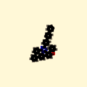 C1=CCC(c2ccc(-c3ccc(-c4nc(-c5ccccc5)nc(-c5c(-c6ccc(-c7ccccc7)cc6)ccc6oc7ccccc7c56)n4)cc3)cc2)C=C1